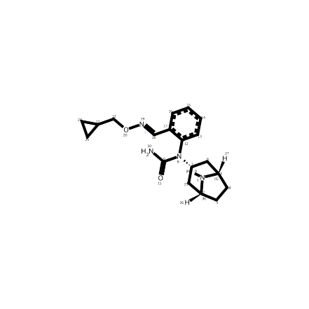 CN1[C@@H]2CC[C@H]1C[C@@H](N(C(N)=O)c1ccccc1/C=N/OCC1CC1)C2